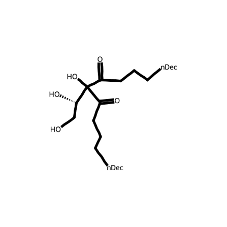 CCCCCCCCCCCCCC(=O)C(O)(C(=O)CCCCCCCCCCCCC)[C@@H](O)CO